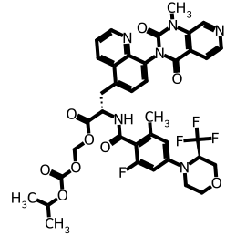 Cc1cc(N2CCOC[C@@H]2C(F)(F)F)cc(F)c1C(=O)N[C@@H](Cc1ccc(-n2c(=O)c3ccncc3n(C)c2=O)c2ncccc12)C(=O)OCOC(=O)OC(C)C